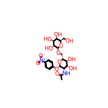 CC(=O)N[C@@H]1[C@@H](Oc2ccc([N+](=O)[O-])cc2)O[C@H](CO[C@@H]2O[C@H](CO)[C@H](O)[C@H](O)[C@H]2O)[C@H](O)[C@@H]1O